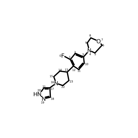 Fc1cc(N2CCOCC2)ccc1C1CCN(c2cn[nH]c2)CC1